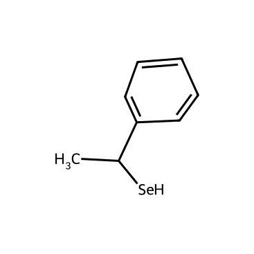 CC([SeH])c1ccccc1